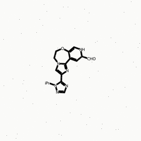 CC(C)n1ncnc1-c1cn2c(n1)C1=CC(C=O)NC=C1OCC2